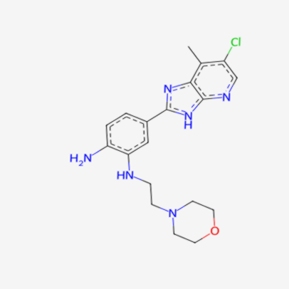 Cc1c(Cl)cnc2[nH]c(-c3ccc(N)c(NCCN4CCOCC4)c3)nc12